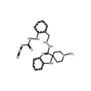 [N-]=[N+]=NC(=O)NNc1ccccc1CNNC1=Nc2ccccc2NC12CCN(N)CC2